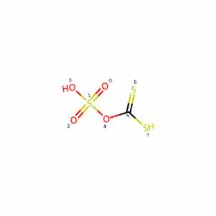 O=S(=O)(O)OC(=S)S